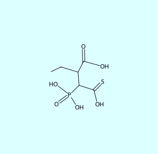 CCC(C(=O)O)C(C(O)=S)P(=O)(O)O